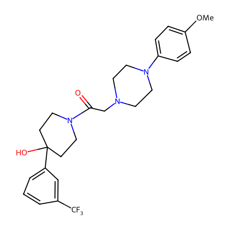 COc1ccc(N2CCN(CC(=O)N3CCC(O)(c4cccc(C(F)(F)F)c4)CC3)CC2)cc1